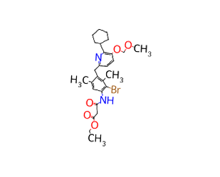 CCOC(=O)CC(=O)Nc1cc(C)c(Cc2ccc(OCOC)c(C3CCCCC3)n2)c(C)c1Br